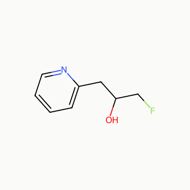 OC(CF)Cc1ccccn1